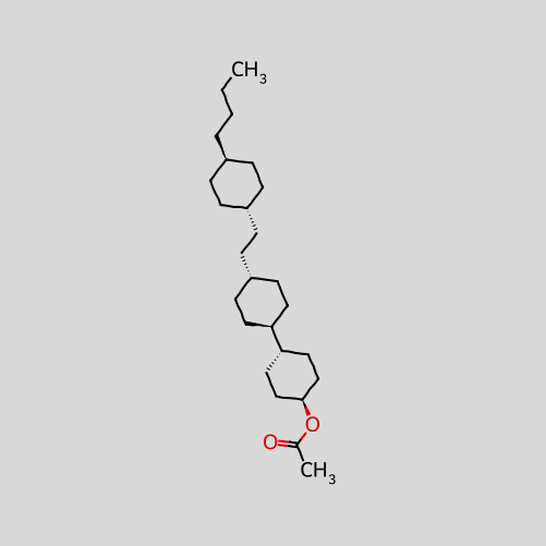 CCCC[C@H]1CC[C@H](CC[C@H]2CC[C@H]([C@H]3CC[C@H](OC(C)=O)CC3)CC2)CC1